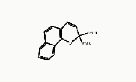 CCCCCC1(CCCCC)C=Cc2ccc3ccccc3c2O1